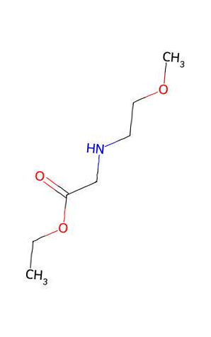 CCOC(=O)CNCCOC